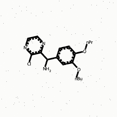 CCCCOc1cc(C(N)c2nccnc2Cl)ccc1OCCC